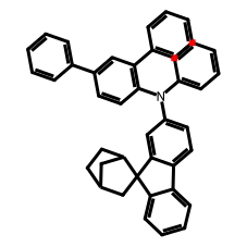 c1ccc(-c2ccc(N(c3ccccc3)c3ccc4c(c3)C3(CC5CCC3C5)c3ccccc3-4)c(-c3ccccc3)c2)cc1